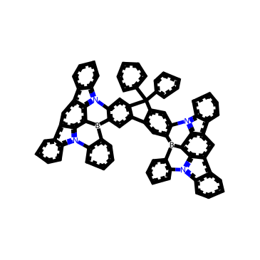 c1ccc(C2(c3ccccc3)c3cc4c(cc3-c3cc5c(cc32)-n2c3ccccc3c3cc6c7ccccc7n7c6c(c32)B5c2ccccc2-7)B2c3ccccc3-n3c5ccccc5c5cc6c7ccccc7n-4c6c2c53)cc1